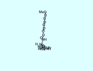 COCCOCCOCCOCCOCCOCCOCCOCCC(=O)NCCCC[C@H](N)C(=O)N[C@H](C(=O)N[C@@H](C)C(=O)NC(C)C)C(C)C